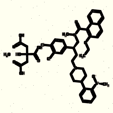 CCOc1ccc2ccccc2c1C(=O)N(C)C[C@@H](CCN1CCC(c2ccccc2[S@+](C)[O-])CC1)c1ccc(Cl)c(Cl)c1.O.O=C(O)CC(O)(CC(=O)O)C(=O)O